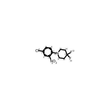 O=[N+]([O-])c1cc(Cl)ccc1N1CCC(F)(F)CC1